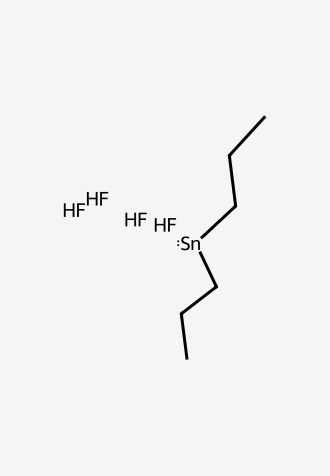 CC[CH2][Sn][CH2]CC.F.F.F.F